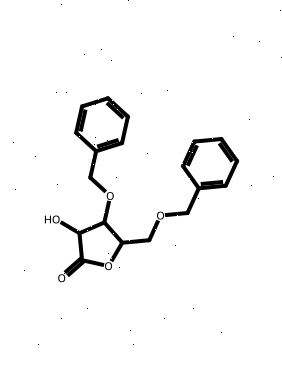 O=C1OC(COCc2ccccc2)C(OCc2ccccc2)C1O